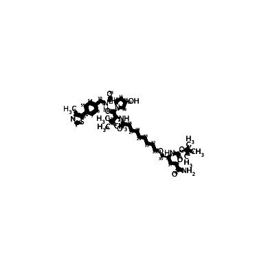 Cc1ncsc1-c1ccc(CNC(=O)[C@@H]2C[C@@H](O)CN2C(=O)[C@@H](NC(=O)CCCCCCCCOC[C@H](CCC(N)=O)NC(=O)OC(C)(C)C)C(C)(C)C)cc1